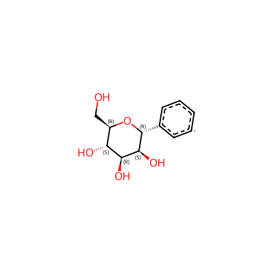 OC[C@H]1O[C@H](c2c[c]ccc2)[C@@H](O)[C@@H](O)[C@@H]1O